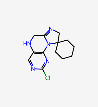 Clc1ncc2c(n1)N1C(=NCC13CCCCC3)CN2